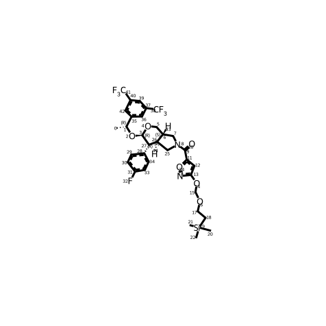 C[C@@H](O[C@H]1OC[C@@H]2CN(C(=O)c3cc(OCOCC[Si](C)(C)C)no3)C[C@H]2[C@@H]1c1ccc(F)cc1)c1cc(C(F)(F)F)cc(C(F)(F)F)c1